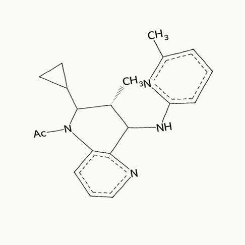 CC(=O)N1c2cccnc2C(Nc2cccc(C)n2)[C@@H](C)C1C1CC1